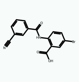 N#Cc1cccc(C(=O)Nc2ccc(Br)cc2C(=O)O)c1